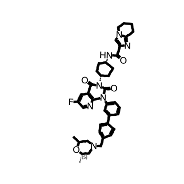 CC1CN(Cc2ccc(-c3cccc(-n4c(=O)n([C@H]5CC[C@@H](NC(=O)c6cn7c(n6)CCCC7)CC5)c(=O)c5cc(F)cnc54)c3)cc2)C[C@H](C)O1